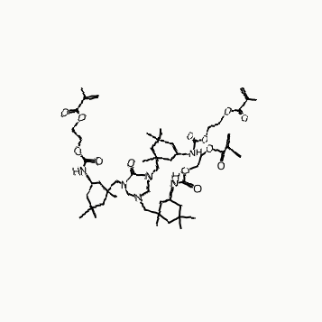 C=C(C)C(=O)OCCOC(=O)NC1CC(C)(C)CC(C)(CN2CN(CC3(C)CC(NC(=O)OCCOC(=O)C(=C)C)CC(C)(C)C3)C(=O)N(CC3(C)CC(NC(=O)OCCOC(=O)C(=C)C)CC(C)(C)C3)C2)C1